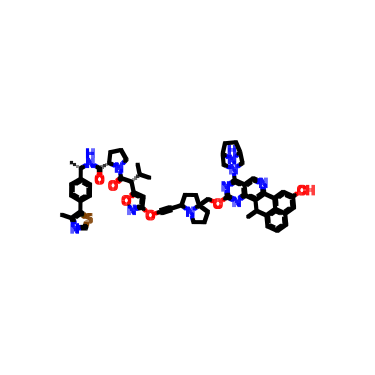 Cc1ncsc1-c1ccc([C@H](C)NC(=O)[C@@H]2CCCN2C(=O)[C@@H](c2cc(OC#CC3CCC4(COc5nc(N6CC7CCC(C6)N7)c6cnc7c(c6n5)C(C)c5cccc6cc(O)cc-7c56)CCCN34)no2)C(C)C)cc1